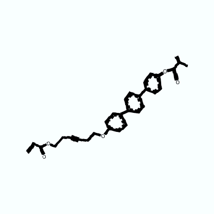 C=CC(=O)OCCC#CCCOc1ccc(-c2ccc(-c3ccc(OC(=O)C(=C)C)cc3)cc2)cc1